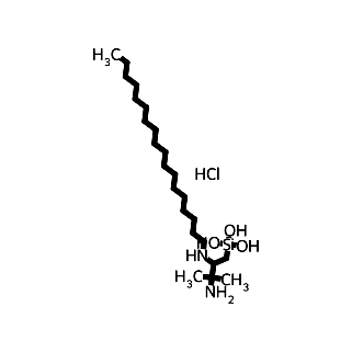 CCCCCCCCCCCCCCCCCCNC(C[Si](O)(O)O)C(C)(C)N.Cl